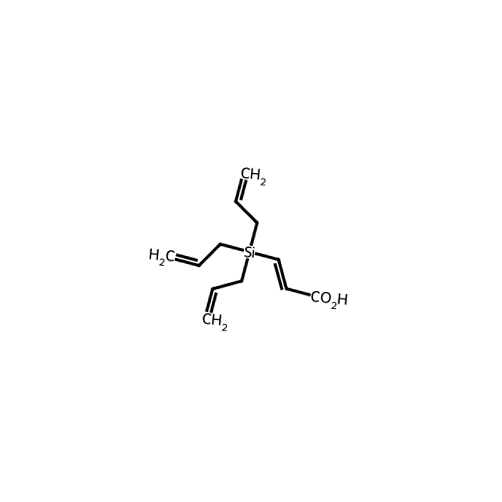 C=CC[Si](C=CC(=O)O)(CC=C)CC=C